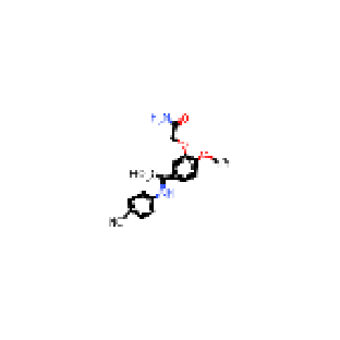 CC(C)Oc1ccc(C(Nc2ccc(C#N)cc2)C(=O)O)cc1OCC(N)=O